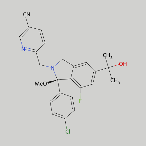 CO[C@]1(c2ccc(Cl)cc2)c2c(F)cc(C(C)(C)O)cc2CN1Cc1ccc(C#N)cn1